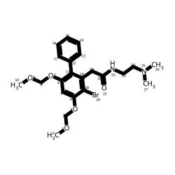 COCOc1cc(OCOC)c(-c2ccccc2)c(CC(=O)NCCN(C)C)c1Br